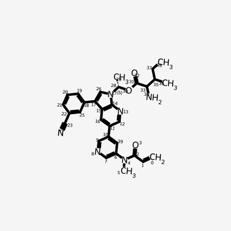 C=CC(=O)N(C)c1cncc(-c2cnc3c(c2)c(-c2cccc(C#N)c2)cn3[C@H](C)OC(=O)C(N)C(C)CC)c1